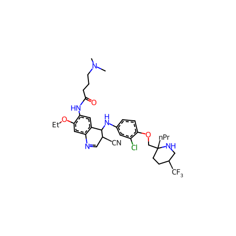 CCCC1(COc2ccc(NC3c4cc(NC(=O)CCCN(C)C)c(OCC)cc4N=CC3C#N)cc2Cl)CCC(C(F)(F)F)CN1